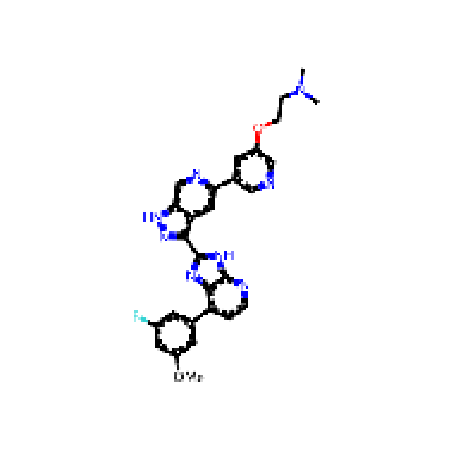 COc1cc(F)cc(-c2ccnc3[nH]c(-c4n[nH]c5cnc(-c6cncc(OCCN(C)C)c6)cc45)nc23)c1